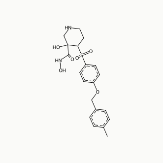 Cc1ccc(COc2ccc(S(=O)(=O)C3CCNCC3(O)C(=O)NO)cc2)cc1